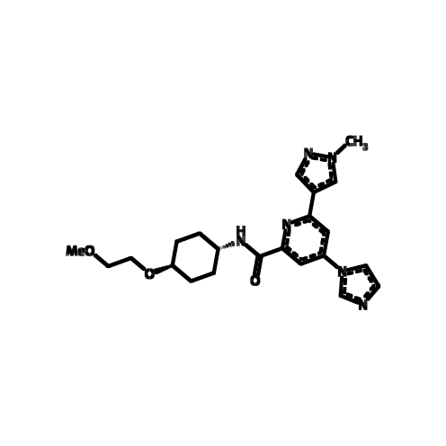 COCCO[C@H]1CC[C@H](NC(=O)c2cc(-n3ccnc3)cc(-c3cnn(C)c3)n2)CC1